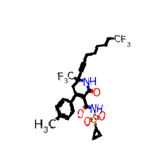 Cc1ccc(C2=C(C(=O)NS(=O)(=O)C3CC3)C(=O)NC(C#CCCCCCC(F)(F)F)(C(F)(F)F)C2)cc1